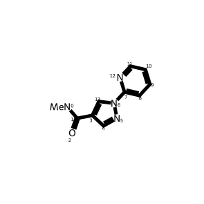 CNC(=O)c1cnn(-c2ccccn2)c1